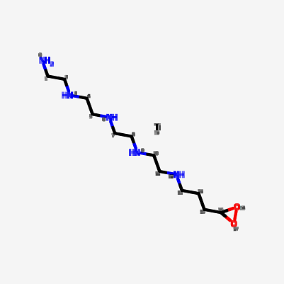 NCCNCCNCCNCCNCCCC1OO1.[Ti]